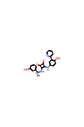 CC(C)[C@@H](Nc1c(Nc2ccc(O)c(-c3ccccn3)c2)c(=O)c1=O)c1cccc(O)c1